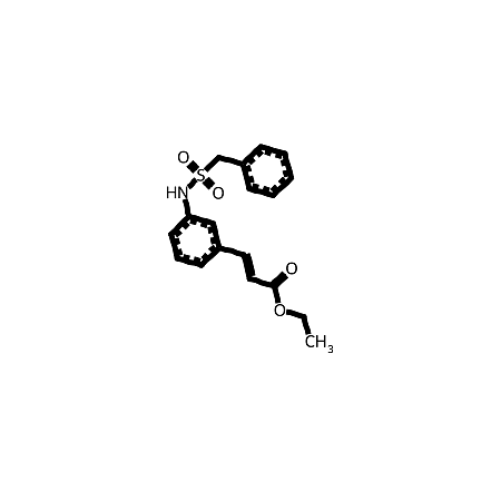 CCOC(=O)C=Cc1cccc(NS(=O)(=O)Cc2ccccc2)c1